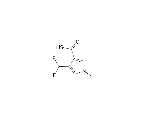 Cn1cc(C(=O)S)c(C(F)F)c1